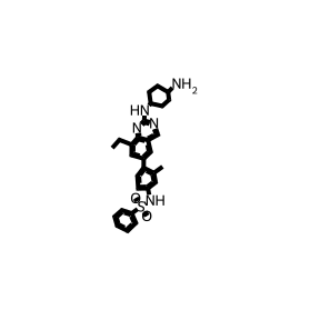 CCc1cc(-c2ccc(NS(=O)(=O)c3ccccc3)cc2C)cc2cnc(NC3CCC(N)CC3)nc12